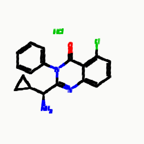 Cl.N[C@H](c1nc2cccc(Cl)c2c(=O)n1-c1ccccc1)C1CC1